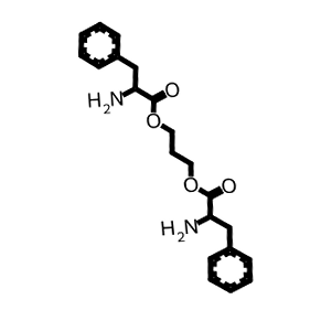 NC(Cc1ccccc1)C(=O)OCCCOC(=O)C(N)Cc1ccccc1